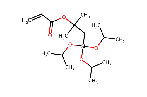 C=CC(=O)OC(C)(C)C[Si](OC(C)C)(OC(C)C)OC(C)C